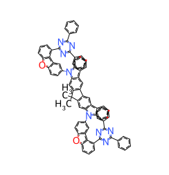 CC1(C)c2cc3c(cc2-c2cc4c5ccccc5n(-c5ccc6oc7cccc(-c8nc(-c9ccccc9)nc(-c9ccccc9)n8)c7c6c5)c4cc21)c1ccccc1n3-c1ccc2oc3cccc(-c4nc(-c5ccccc5)nc(-c5ccccc5)n4)c3c2c1